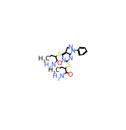 CCC(Sc1nc(SC(CC)C(N)=O)c2cnn(-c3ccccc3)c2n1)C(N)=O